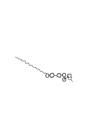 CCCCCCCCCCCCCCCCCCOc1ccc(-c2ccc(OC(=O)C(Cl)CC(C)C)cc2)cc1